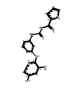 O=C(NC(=S)Nc1cccc(Oc2ncc(Cl)cc2Cl)c1)c1cccs1